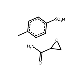 Cc1ccc(S(=O)(=O)O)cc1.NC(=O)C1CO1